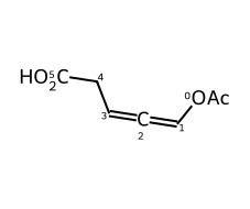 CC(=O)OC=C=CCC(=O)O